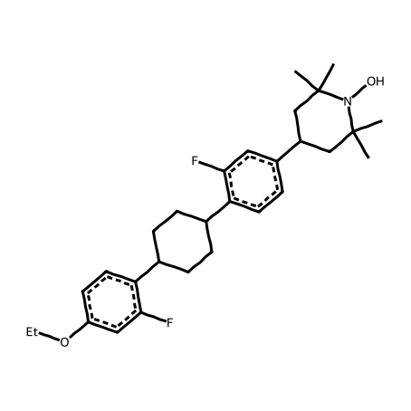 CCOc1ccc(C2CCC(c3ccc(C4CC(C)(C)N(O)C(C)(C)C4)cc3F)CC2)c(F)c1